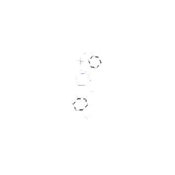 Nc1ccc(OC2CCN(c3ccccc3C(F)(F)F)CC2)c(Cl)c1